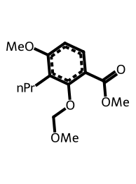 CCCc1c(OC)ccc(C(=O)OC)c1OCOC